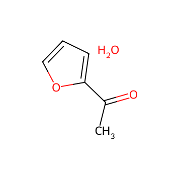 CC(=O)c1ccco1.O